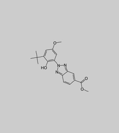 COC(=O)c1ccc2nn(-c3cc(OC)cc(C(C)(C)C)c3O)nc2c1